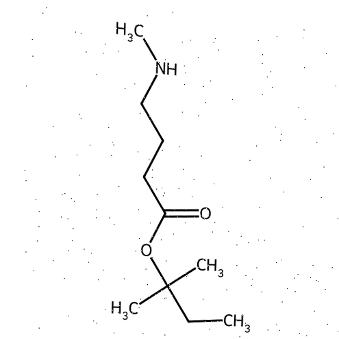 CCC(C)(C)OC(=O)CCCNC